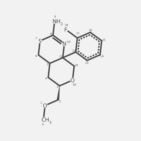 COC[C@H]1CC2CSC(N)=NC2(c2ccccc2F)CO1